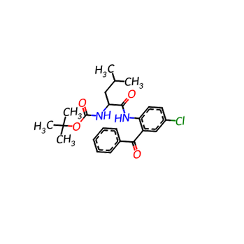 CC(C)CC(NC(=O)OC(C)(C)C)C(=O)Nc1ccc(Cl)cc1C(=O)c1ccccc1